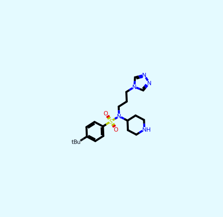 CC(C)(C)c1ccc(S(=O)(=O)N(CCCn2cnnc2)C2CCNCC2)cc1